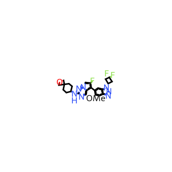 COc1nc(NC2CCC3(CC2)COC3)nn2cc(F)c(-c3ccc4nnn(C5CC(F)(F)C5)c4c3)c12